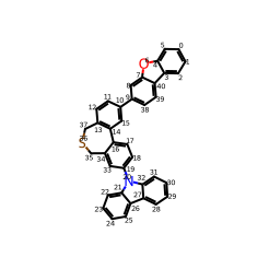 c1ccc2c(c1)oc1cc(-c3ccc4c(c3)-c3ccc(-n5c6ccccc6c6ccccc65)cc3CSC4)ccc12